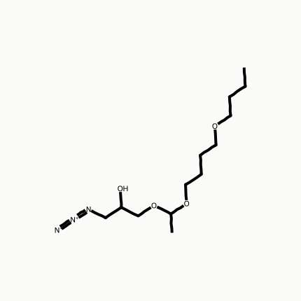 CCCCOCCCCOC(C)OCC(O)CN=[N+]=[N-]